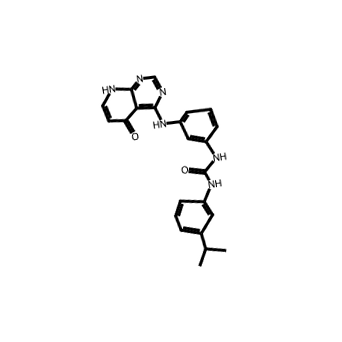 CC(C)c1cccc(NC(=O)Nc2cccc(Nc3ncnc4[nH]ccc(=O)c34)c2)c1